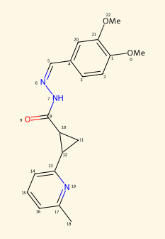 COc1ccc(/C=N\NC(=O)C2CC2c2cccc(C)n2)cc1OC